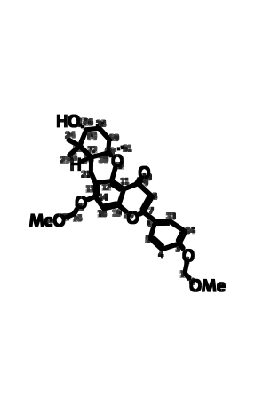 COCOc1ccc(-c2cc(=O)c3c4c(c(OCOC)cc3o2)C[C@@H]2C(C)(C)[C@H](O)CC[C@@]2(C)O4)cc1